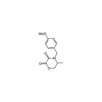 COc1ccc(CN2C(=O)C(=O)OCC2C)cc1